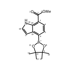 COC(=O)c1ccc(B2OC(C)(C)C(C)(C)O2)c2cc[nH]c12